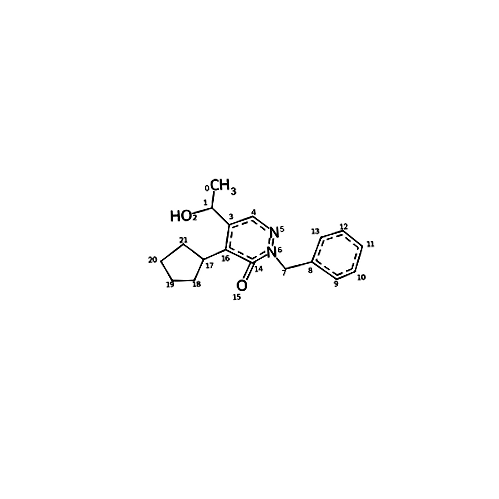 CC(O)c1cnn(Cc2ccccc2)c(=O)c1C1CCCC1